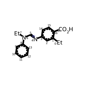 CCc1cc(/N=C/N(CC)c2ccccc2)ccc1C(=O)O